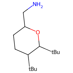 CC(C)(C)C1CCC(CN)OC1C(C)(C)C